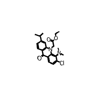 CCOC(=O)Cn1c2cc(C(C)C)ccc2c(=O)c2ccc(Cl)c(N(C)C)c21